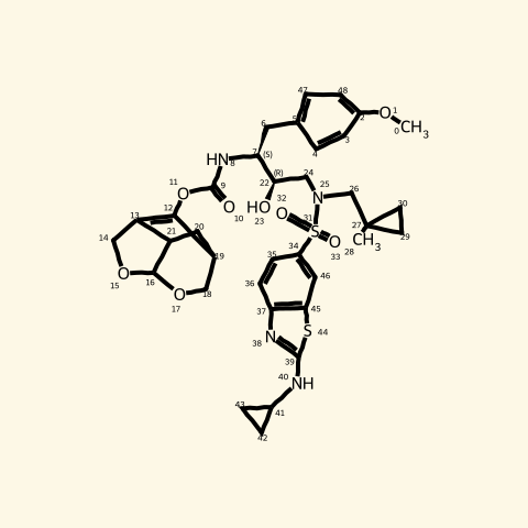 COc1ccc(C[C@H](NC(=O)OC2=C3COC4OCC2CC34)[C@H](O)CN(CC2(C)CC2)S(=O)(=O)c2ccc3nc(NC4CC4)sc3c2)cc1